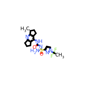 C[C@@H]1CCc2c1nc1c(c2NC(=O)N=S(N)(=O)c2ccn(C(C)(F)F)n2)CCC1